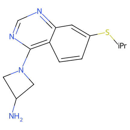 CC(C)Sc1ccc2c(N3CC(N)C3)ncnc2c1